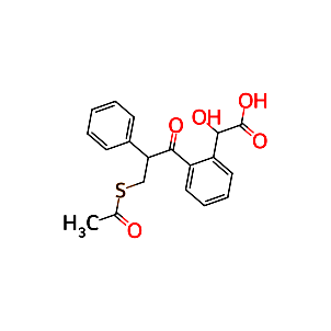 CC(=O)SCC(C(=O)c1ccccc1C(O)C(=O)O)c1ccccc1